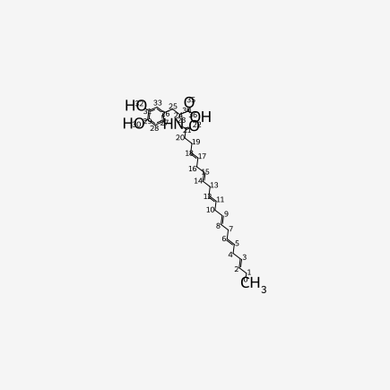 CCC=CCC=CCC=CCC=CCC=CCC=CCCC(=O)NC(Cc1ccc(O)c(O)c1)C(=O)O